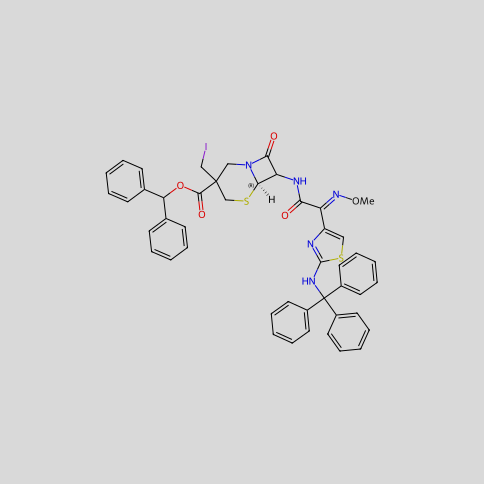 CON=C(C(=O)NC1C(=O)N2CC(CI)(C(=O)OC(c3ccccc3)c3ccccc3)CS[C@H]12)c1csc(NC(c2ccccc2)(c2ccccc2)c2ccccc2)n1